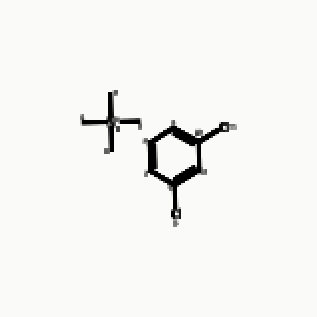 C[N+](C)(C)C.Clc1cccc(Cl)c1